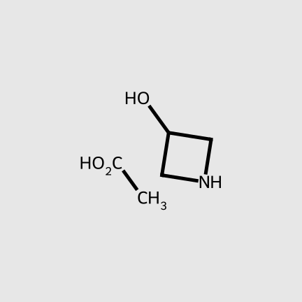 CC(=O)O.OC1CNC1